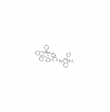 N/C(=C\C(=N/Cc1ccc(-c2ccc3c(c2)C2(c4ccccc4-3)c3cc4ccccc4cc3N(C3C=CC=CC3)c3cc4ccccc4cc32)cc1)c1ccccc1)c1ccccc1